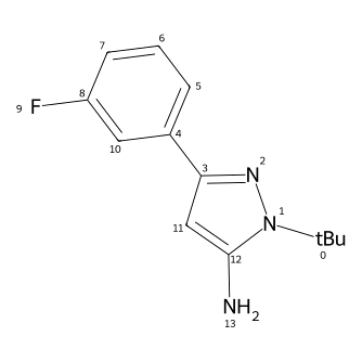 CC(C)(C)n1nc(-c2cccc(F)c2)cc1N